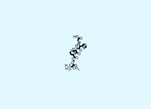 CC(C)(C)C(=O)OCOC(=O)C1=CCS[C@H]2C(NC(=O)C(=NOCC(=O)O)c3cscn3)C(=O)N12